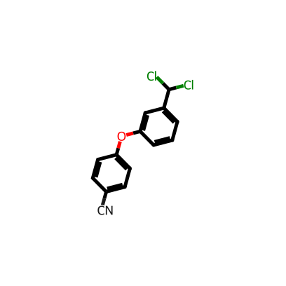 N#Cc1ccc(Oc2cccc(C(Cl)Cl)c2)cc1